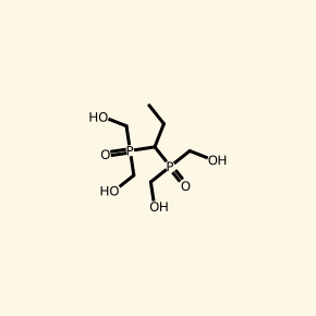 CCC(P(=O)(CO)CO)P(=O)(CO)CO